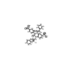 C[C@@H](NCC(C(=O)C(CN[C@H](C)c1ccccc1)c1ccc([N+](=O)[O-])cc1)c1ccc([N+](=O)[O-])cc1)c1ccccc1